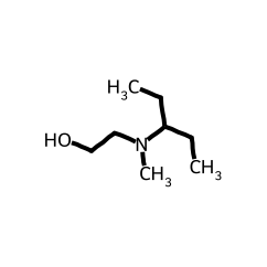 CCC(CC)N(C)CCO